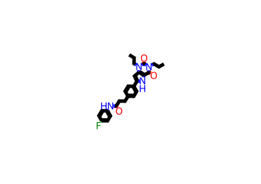 CCCn1c(=O)c2[nH]c(-c3ccc(CCC(=O)Nc4ccc(F)cc4)cc3)cc2n(CCC)c1=O